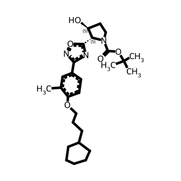 Cc1cc(-c2noc([C@@H]3[C@@H](O)CCN3C(=O)OC(C)(C)C)n2)ccc1OCCCC1CCCCC1